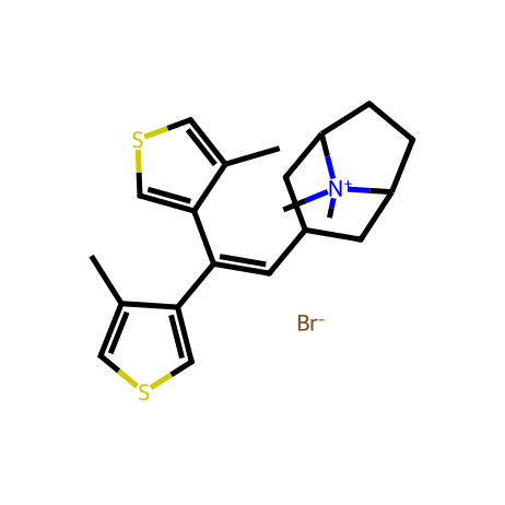 Cc1cscc1C(=CC1CC2CCC(C1)[N+]2(C)C)c1cscc1C.[Br-]